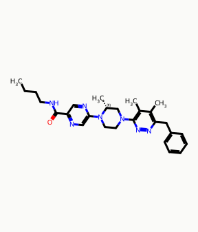 CCCCNC(=O)c1cnc(N2CCN(c3nnc(Cc4ccccc4)c(C)c3C)C[C@H]2C)cn1